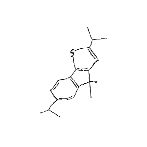 CC(C)c1ccc2c(c1)C(C)(C)c1cc(C(C)C)sc1-2